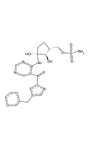 NS(=O)(=O)OC[C@H]1CC[C@](O)(Nc2ncncc2C(=O)c2ncc(Cc3ccccc3)s2)[C@@H]1O